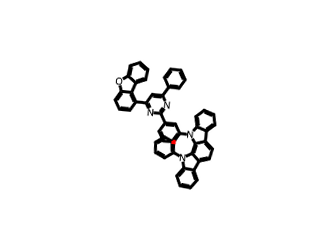 c1ccc(-c2cc(-c3cccc4oc5ccccc5c34)nc(-c3cccc(-n4c5ccccc5c5ccc6c7ccccc7n(-c7ccccc7)c6c54)c3)n2)cc1